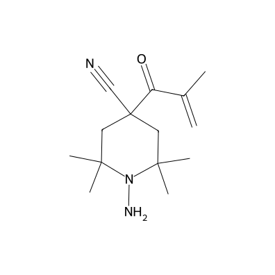 C=C(C)C(=O)C1(C#N)CC(C)(C)N(N)C(C)(C)C1